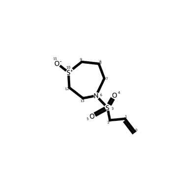 C=CCS(=O)(=O)N1C[CH]C[S+]([O-])CC1